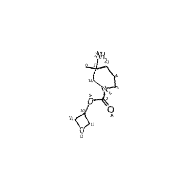 CC1(N)CCCN(C(=O)OC2COC2)C1